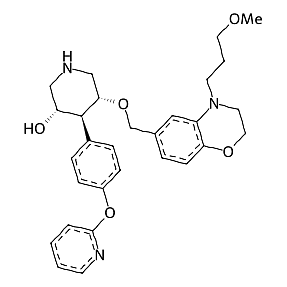 COCCCN1CCOc2ccc(CO[C@H]3CNC[C@@H](O)[C@@H]3c3ccc(Oc4ccccn4)cc3)cc21